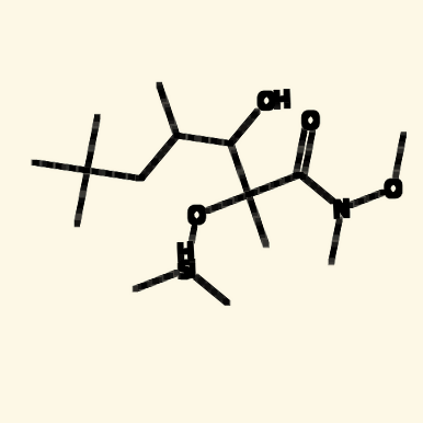 CON(C)C(=O)C(C)(O[SiH](C)C)C(O)C(C)CC(C)(C)C